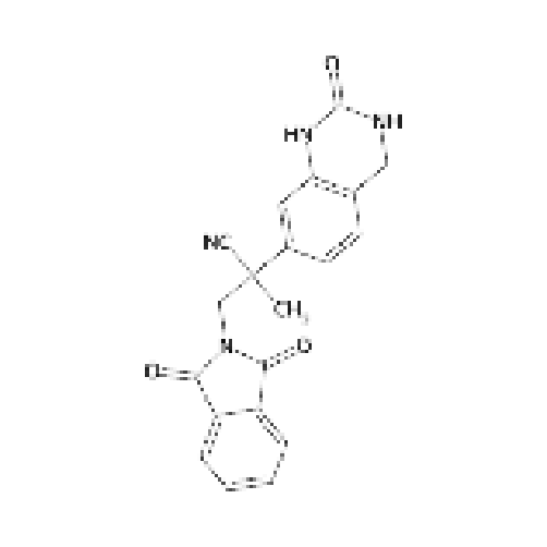 CC(C#N)(CN1C(=O)c2ccccc2C1=O)c1ccc2c(c1)NC(=O)NC2